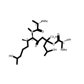 CCC[C@H](NC)C(=O)OC(CC(=O)[C@@H]([C@H](C)CCCC(C)O)N(C)C(=O)[C@H](C)NC)(CC(C)O)C(=O)O